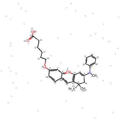 CN(C1=Cc2[o+]c3cc(OCCCCCC(=O)O)ccc3cc2C(C)(C)C1)c1ccccc1